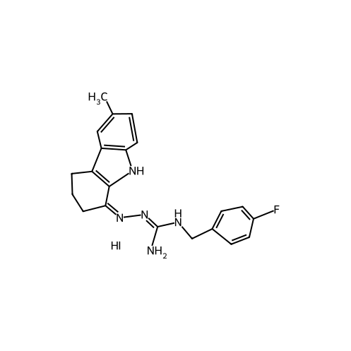 Cc1ccc2[nH]c3c(c2c1)CCC/C3=N/N=C(\N)NCc1ccc(F)cc1.I